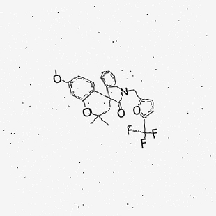 COc1ccc2c(c1)OC(C)(C)CC21C(=O)N(Cc2ccc(C(F)(F)F)o2)c2ccccc21